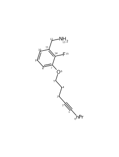 CCCC#CCCCOc1cccc(CN)c1F